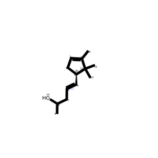 CC1=CC[C@H](/C=C/CC(C)O)C1(C)C